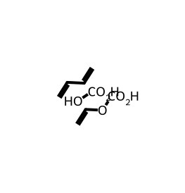 C=CC=C.C=COC(=O)O.O=C(O)O